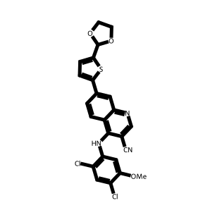 COc1cc(Nc2c(C#N)cnc3cc(-c4ccc(C5OCCO5)s4)ccc23)c(Cl)cc1Cl